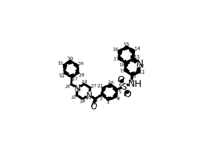 O=C(c1ccc(S(=O)(=O)Nc2cnc3ccccc3c2)cc1)N1CCN(Cc2ccccc2)CC1